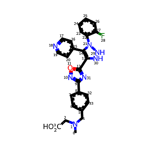 CN(CC(=O)O)Cc1ccc(-c2noc(C3=C(c4ccncc4)N(c4ccccc4F)NN3)n2)cc1